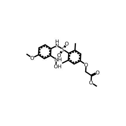 COC(=O)COc1cc(C)c(S(=O)(=O)Nc2ccc(OC)cc2NO)c(C)c1